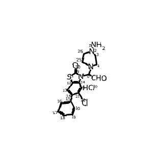 Cl.NN1CCN(C(C=O)n2c(=O)sc3cc(-c4ccccc4)c(Cl)cc32)CC1